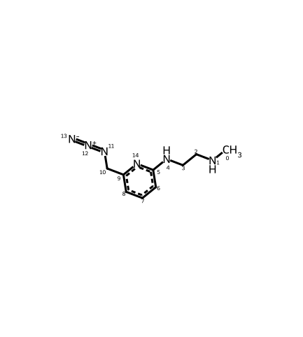 CNCCNc1cccc(CN=[N+]=[N-])n1